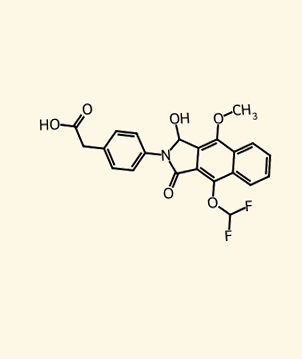 COc1c2c(c(OC(F)F)c3ccccc13)C(=O)N(c1ccc(CC(=O)O)cc1)C2O